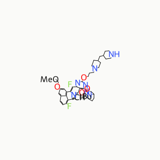 C#Cc1c(F)ccc2cc(OCOC)cc(-c3ncc4c(N5CC6CCC(C5)N6C(=O)OC(C)(C)C)nc(OCCCN5CCC(CC6CCNCC6)CC5)nc4c3F)c12